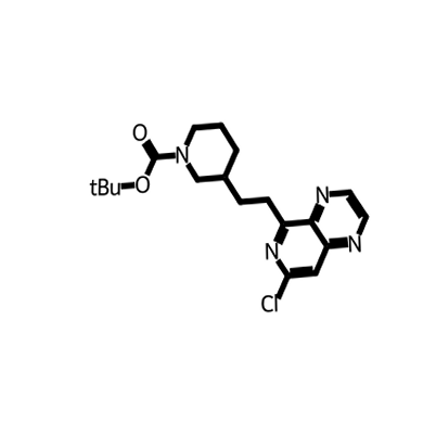 CC(C)(C)OC(=O)N1CCCC(CCc2nc(Cl)cc3nccnc23)C1